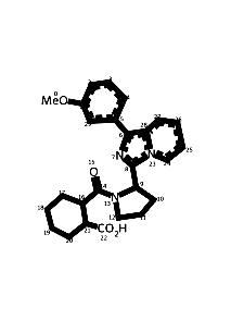 COc1cccc(-c2nc(C3CCCN3C(=O)C3CCCCC3C(=O)O)n3ccccc23)c1